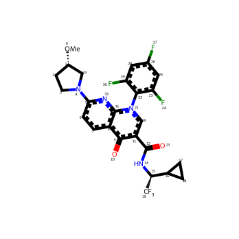 CO[C@H]1CCN(c2ccc3c(=O)c(C(=O)N[C@@H](C4CC4)C(F)(F)F)cn(-c4c(F)cc(F)cc4F)c3n2)C1